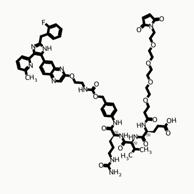 Cc1cccc(-c2nc(Cc3ccccc3F)[nH]c2-c2ccc3ncc(OCCNC(=O)OCc4ccc(NC(=O)[C@H](CCCNC(N)=O)NC(=O)[C@@H](NC(=O)[C@H](CCC(=O)O)NC(=O)CCOCCOCCOCCOCCN5C(=O)C=CC5=O)C(C)C)cc4)nc3c2)n1